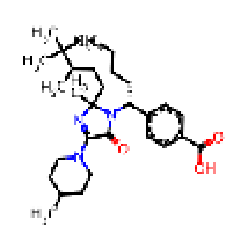 CCCC[C@H](c1ccc(C(=O)O)cc1)N1C(=O)C(N2CCC(C)CC2)=NC1(C)CCC(C)C(C)(C)C